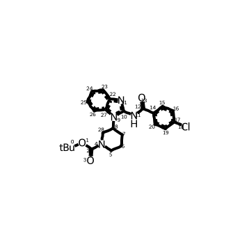 CC(C)(C)OC(=O)N1CCCC(n2c(NC(=O)c3ccc(Cl)cc3)nc3ccccc32)C1